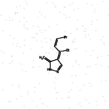 C=C1NN=C/C1=[N+](/C=C\C(C)C)CC